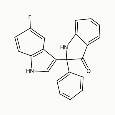 O=C1c2ccccc2NC1(c1ccccc1)c1c[nH]c2ccc(F)cc12